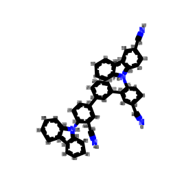 N#Cc1ccc(-n2c3ccccc3c3cc(C#N)ccc32)c(-c2cccc(-c3ccc(-n4c5ccccc5c5ccccc54)c(C#N)c3)c2)c1